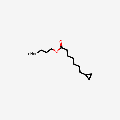 CCCCCCCCCCCCOC(=O)CCCCCCC1CC1